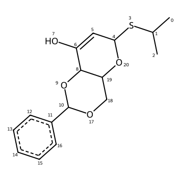 CC(C)SC1C=C(O)C2OC(c3ccccc3)OCC2O1